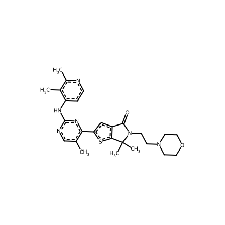 Cc1cnc(Nc2ccnc(C)c2C)nc1-c1cc2c(s1)C(C)(C)N(CCN1CCOCC1)C2=O